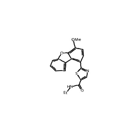 CCNC(=O)c1cnc(-c2ccc(OC)c3oc4ccccc4c23)s1